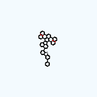 c1ccc(-c2ccc3sc4c(-c5ccc6c7c(cccc57)-c5c-6c(-c6ccccc6)c6c(-c7ccccc7)ccc(-c7ccccc7)c6c5-c5ccccc5)cccc4c3c2)cc1